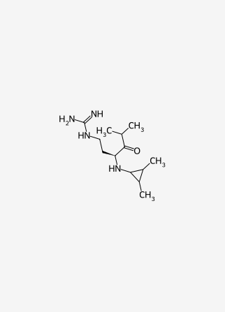 CC(C)C(=O)[C@H](CCNC(=N)N)NC1C(C)C1C